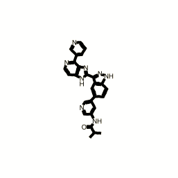 CC(C)C(=O)Nc1cncc(-c2ccc3[nH]nc(-c4nc5c(-c6cccnc6)nccc5[nH]4)c3c2)c1